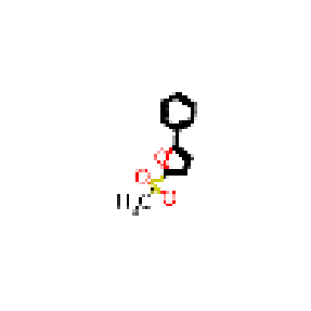 CS(=O)(=O)c1ccc(-c2ccccc2)o1